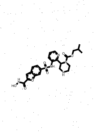 CC(C)COC(=O)N1CCNCC1c1ncccc1NS(=O)(=O)c1ccc2cc(C(=O)NO)oc2c1